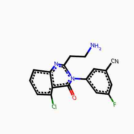 N#Cc1cc(F)cc(-n2c(CCN)nc3cccc(Cl)c3c2=O)c1